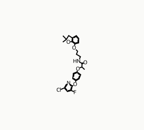 CC(Oc1ccc(Oc2ncc(Cl)cc2F)cc1)C(=O)NCCCOc1cccc2c1OC(C)(C)C2